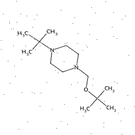 CC(C)(C)OCN1CCN(C(C)(C)C)CC1